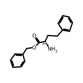 N[C@H]([CH]Cc1ccccc1)C(=O)OCc1ccccc1